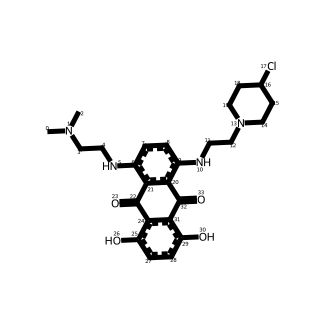 CN(C)CCNc1ccc(NCCN2CCC(Cl)CC2)c2c1C(=O)c1c(O)ccc(O)c1C2=O